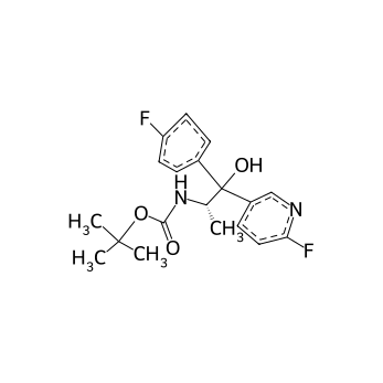 C[C@H](NC(=O)OC(C)(C)C)C(O)(c1ccc(F)cc1)c1ccc(F)nc1